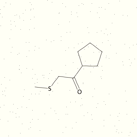 CSCC(=O)C1CCCC1